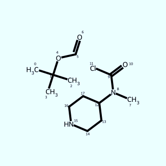 CC(C)(C)OC=O.CN(C(=O)Cl)C1CCNCC1